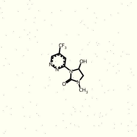 CN1CC(O)N(c2cc(C(F)(F)F)cnn2)C1=O